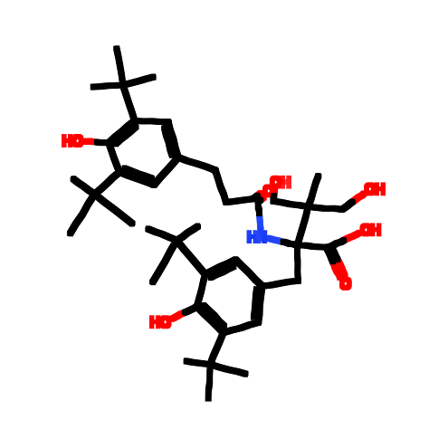 CC(C)(C)c1cc(CCC(=O)NC(Cc2cc(C(C)(C)C)c(O)c(C(C)(C)C)c2)(C(=O)O)C(C)(CO)CO)cc(C(C)(C)C)c1O